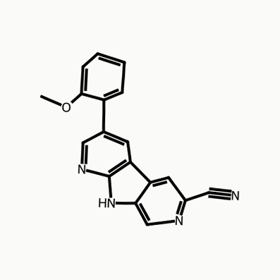 COc1ccccc1-c1cnc2[nH]c3cnc(C#N)cc3c2c1